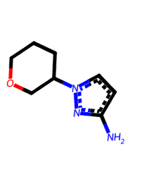 Nc1ccn(C2CCCOC2)n1